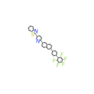 Fc1c(F)c(F)c(-c2ccc(-c3ccc4cc(-c5ccc(-c6nc7ccccc7s6)cn5)ccc4c3)cc2)c(F)c1F